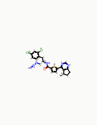 C[C@@H]1CCc2ncnc(-c3ccc(C(=O)N[C@H](CN=[N+]=[N-])Cc4ccc(Cl)cc4Cl)s3)c21